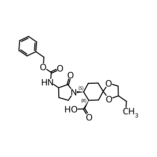 CCC1COC2(CC[C@H](N3CCC(NC(=O)OCc4ccccc4)C3=O)[C@H](C(=O)O)C2)O1